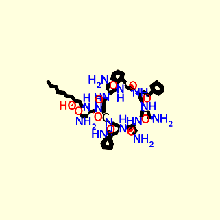 CCCCCCC[C@@H](O)CC(=O)N[C@H](CCN)C(=O)N[C@H]1CCNC(=O)[C@H](Cc2c[nH]c3ccccc23)NC(=O)[C@H](CCN)NC(=O)[C@H](CCN)NC(=O)[C@H](CCc2ccccc2)NC(=O)[C@@H](Cc2ccccc2)NC(=O)[C@H](CCN)NC1=O